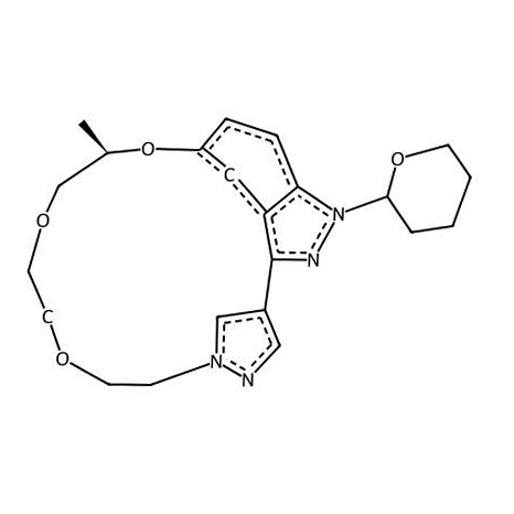 C[C@@H]1COCCOCCn2cc(cn2)-c2nn(C3CCCCO3)c3ccc(cc23)O1